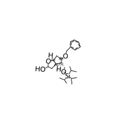 CC(C)[Si](OC[C@@H]1[C@H]2CC(O)O[C@H]2C[C@H]1OCc1ccccc1)(C(C)C)C(C)C